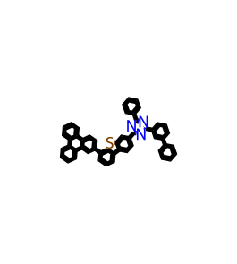 c1ccc(-c2cccc(-c3nc(-c4ccccc4)nc(-c4ccc5c(c4)sc4c(-c6ccc7c8ccccc8c8ccccc8c7c6)cccc45)n3)c2)cc1